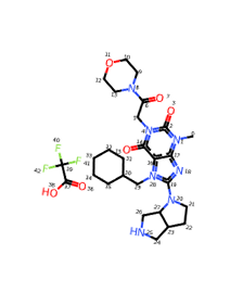 Cn1c(=O)n(CC(=O)N2CCOCC2)c(=O)c2c1nc(N1CCC3CNCC31)n2CC1CCCCC1.O=C(O)C(F)(F)F